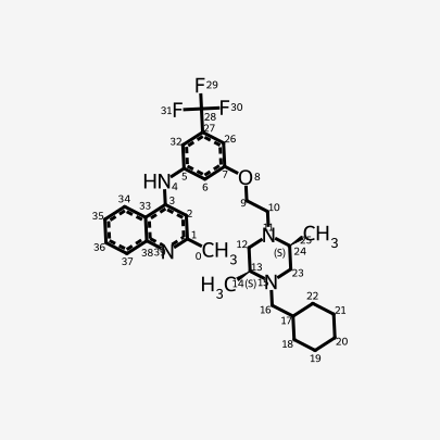 Cc1cc(Nc2cc(OCCN3C[C@H](C)N(CC4CCCCC4)C[C@@H]3C)cc(C(F)(F)F)c2)c2ccccc2n1